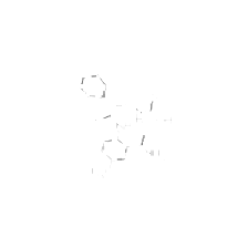 Cc1ccc(NC(=O)C(CNC(=O)O)c2ccccc2)c(C(N)=O)c1